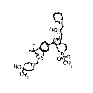 CC1(O)CCN(CCSc2cc(-c3nn(C[C@H](O)CN4CCCCC4)c4c3CN(S(C)(=O)=O)CC4)ccc2C(F)(F)F)CC1